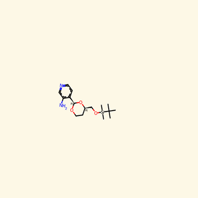 CC(C)(C)[Si](C)(C)OC[C@H]1CCO[C@@H](c2ccncc2N)O1